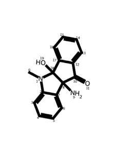 CN1c2ccccc2C2(N)C(=O)c3ccccc3C12O